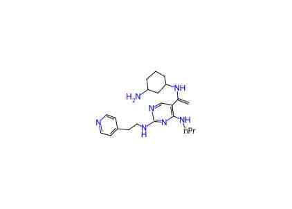 C=C(NC1CCCC(N)C1)c1cnc(NCCc2ccncc2)nc1NCCC